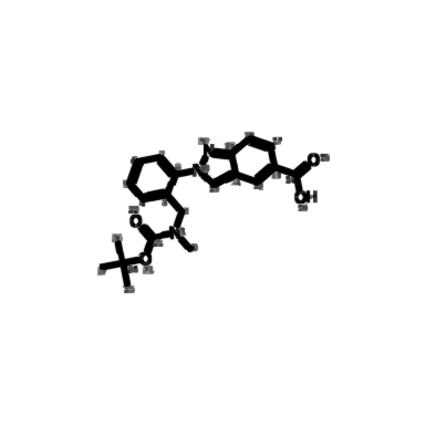 CN(Cc1ccccc1-n1cc2cc(C(=O)O)ccc2n1)C(=O)OC(C)(C)C